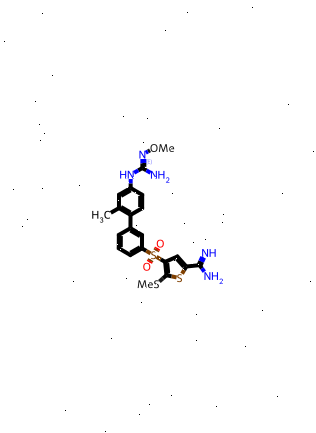 CO/N=C(\N)Nc1ccc(-c2cccc(S(=O)(=O)c3cc(C(=N)N)sc3SC)c2)c(C)c1